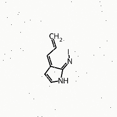 C=C/C=C1/C=CN/C1=N/I